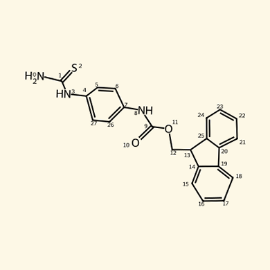 NC(=S)Nc1ccc(NC(=O)OCC2c3ccccc3-c3ccccc32)cc1